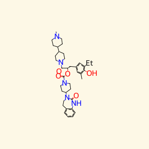 CCc1cc(C[C@@H](OC(=O)N2CCC(N3CCc4ccccc4NC3=O)CC2)C(=O)N2CCC(C3CCN(C)CC3)CC2)cc(C)c1O